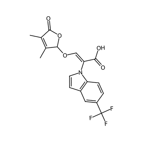 CC1=C(C)C(O/C=C(/C(=O)O)n2ccc3cc(C(F)(F)F)ccc32)OC1=O